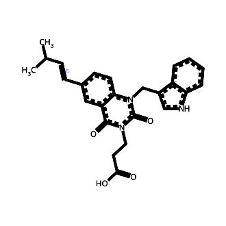 CC(C)/C=C/c1ccc2c(c1)c(=O)n(CCC(=O)O)c(=O)n2Cc1c[nH]c2ccccc12